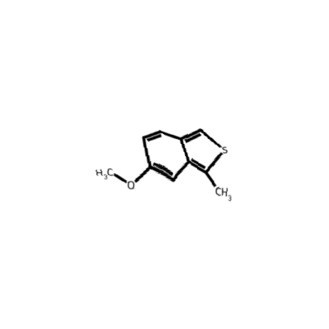 COc1ccc2csc(C)c2c1